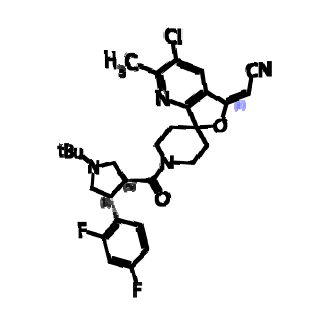 Cc1nc2c(cc1Cl)/C(=C\C#N)OC21CCN(C(=O)[C@@H]2CN(C(C)(C)C)C[C@H]2c2ccc(F)cc2F)CC1